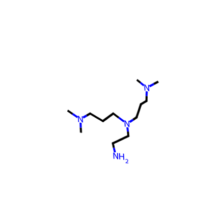 CN(C)CCCN(CCN)CCCN(C)C